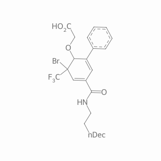 CCCCCCCCCCCCNC(=O)C1=CC(Br)(C(F)(F)F)C(OCC(=O)O)C(c2ccccc2)=C1